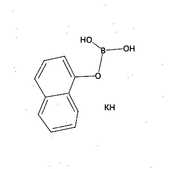 OB(O)Oc1cccc2ccccc12.[KH]